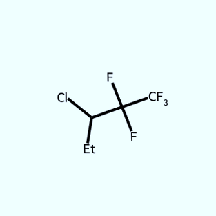 CCC(Cl)C(F)(F)C(F)(F)F